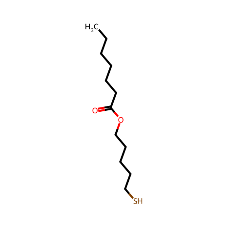 CCCCCCC(=O)OCCCCCS